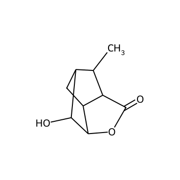 CC1C2CC3C(OC(=O)C13)C2O